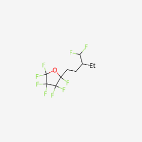 CCC(CCC1(F)OC(F)(F)C(F)(F)C1(F)F)C(F)F